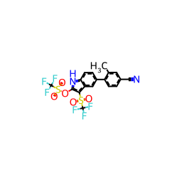 Cc1cc(C#N)ccc1-c1ccc2[nH]c(OS(=O)(=O)C(F)(F)F)c(S(=O)(=O)C(F)(F)F)c2c1